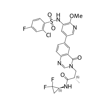 COc1ncc(-c2ccc3ncn(C[C@H](C)C(=O)N[C@H]4CC4(F)F)c(=O)c3c2)cc1NS(=O)(=O)c1ccc(F)cc1Cl